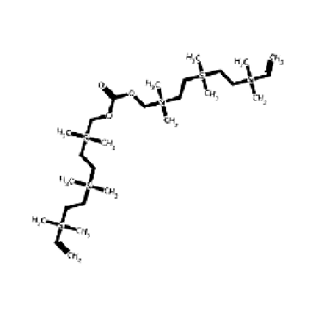 C=C[Si](C)(C)CC[Si](C)(C)CC[Si](C)(C)COC(=O)OC[Si](C)(C)CC[Si](C)(C)CC[Si](C)(C)C=C